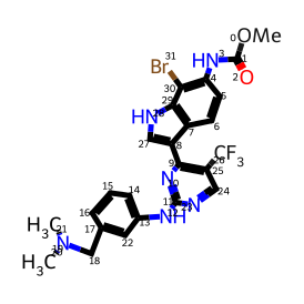 COC(=O)Nc1ccc2c(-c3nc(Nc4cccc(CN(C)C)c4)ncc3C(F)(F)F)c[nH]c2c1Br